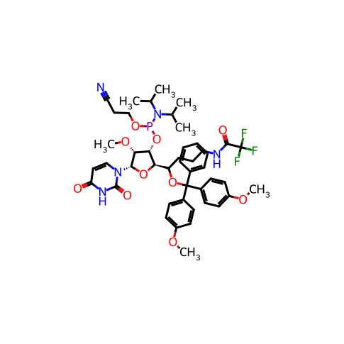 COc1ccc(C(OC(CCCNC(=O)C(F)(F)F)[C@H]2O[C@H](n3ccc(=O)[nH]c3=O)[C@H](OC)[C@@H]2OP(OCCC#N)N(C(C)C)C(C)C)(c2ccccc2)c2ccc(OC)cc2)cc1